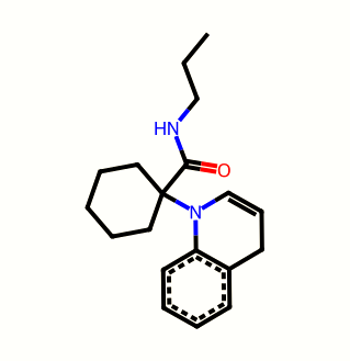 CCCNC(=O)C1(N2C=CCc3ccccc32)CCCCC1